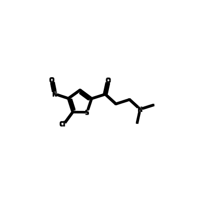 CN(C)CCC(=O)c1cc(N=O)c(Cl)s1